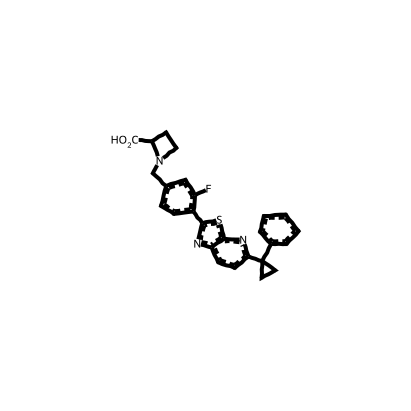 O=C(O)C1CCN1Cc1ccc(-c2nc3ccc(C4(c5ccccc5)CC4)nc3s2)c(F)c1